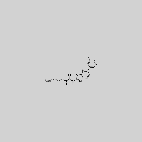 COCCCNC(=O)Nc1nc2ccc(-c3cncc(C)c3)nc2s1